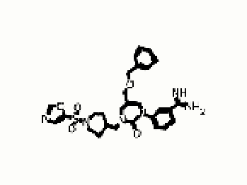 N=C(N)c1cccc(N2CC(COCc3ccccc3)CN(CC3CCN(S(=O)(=O)c4cnco4)CC3)C2=O)c1